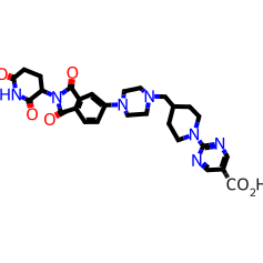 O=C1CCC(N2C(=O)c3ccc(N4CCN(CC5CCN(c6ncc(C(=O)O)cn6)CC5)CC4)cc3C2=O)C(=O)N1